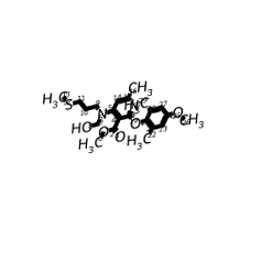 COC(=O)c1c(N(CO)CCCSC)cc(C)nc1Oc1c(C)cc(OC)cc1C